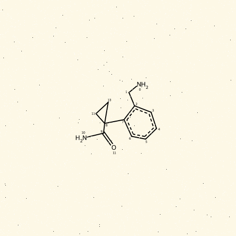 NCc1ccccc1C1(C(N)=O)CC1